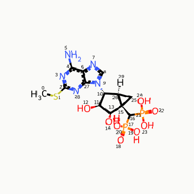 CSc1nc(N)c2ncn([C@H]3[C@H](O)[C@H](O)[C@@]4(C(P(=O)(O)O)P(=O)(O)O)C[C@H]34)c2n1